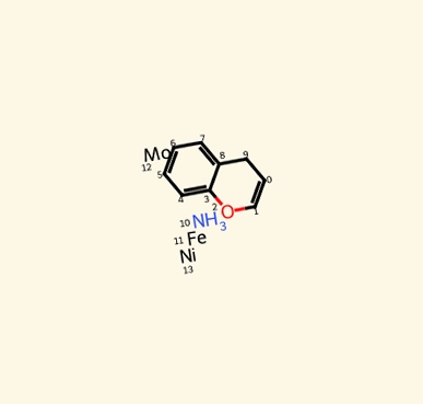 C1=COc2ccccc2C1.N.[Fe].[Mo].[Ni]